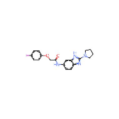 O=C(COc1ccc(I)cc1)Nc1ccc2nc(N3CCCC3)[nH]c2c1